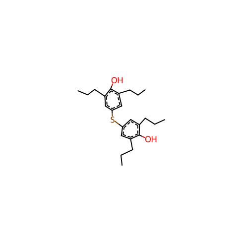 CCCc1cc(Sc2cc(CCC)c(O)c(CCC)c2)cc(CCC)c1O